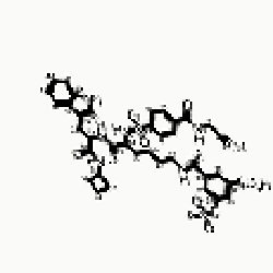 C#CCNC(=O)c1ccc(S(=O)(=O)NC(CCCCNC(=O)c2cc(OS(=O)(=O)F)cc(C(=O)O)c2)C(=O)NC(Cc2c[nH]c3ccccc23)C(=O)NC2CCC2)cc1